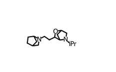 CC(C)N1CC2CC1C(CCN1CC3CCC1C3)O2